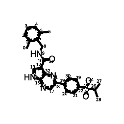 Cc1cccc(C)c1CNC(=O)c1c[nH]c2ncc(-c3ccc(S(=O)(=O)C(C)C)cc3)nc12